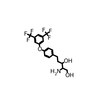 NC(CO)C(O)CCc1ccc(Oc2cc(C(F)(F)F)cc(C(F)(F)F)c2)cc1